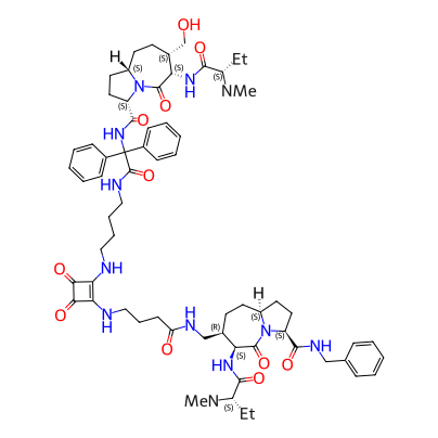 CC[C@H](NC)C(=O)N[C@@H]1C(=O)N2[C@@H](CC[C@@H]1CNC(=O)CCCNc1c(NCCCCNC(=O)C(NC(=O)[C@@H]3CC[C@@H]4CC[C@H](CO)[C@H](NC(=O)[C@H](CC)NC)C(=O)N43)(c3ccccc3)c3ccccc3)c(=O)c1=O)CC[C@H]2C(=O)NCc1ccccc1